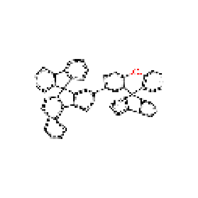 c1ccc2c(c1)Oc1ccc(-c3ccc4c(c3)C3(c5ccccc5-c5ccccc53)c3ccc5ccccc5c3-4)cc1C21c2ccccc2-c2ccccc21